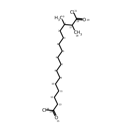 CC(CCCCCCCCCCCCC(=O)Cl)C(C)C(=O)Cl